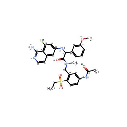 CCS(=O)(=O)c1ccc(NC(C)=O)cc1CN(C)C(=O)C(Nc1cc(F)c2c(N)nccc2c1)c1cccc(OC)c1